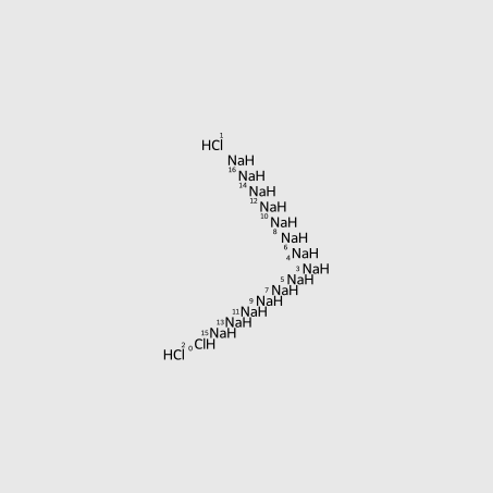 Cl.Cl.Cl.[NaH].[NaH].[NaH].[NaH].[NaH].[NaH].[NaH].[NaH].[NaH].[NaH].[NaH].[NaH].[NaH].[NaH]